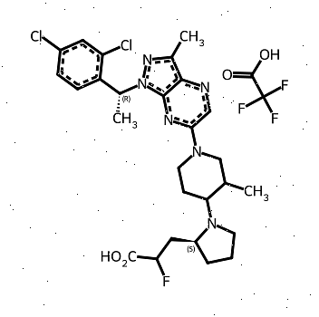 Cc1nn([C@H](C)c2ccc(Cl)cc2Cl)c2nc(N3CCC(N4CCC[C@H]4CC(F)C(=O)O)C(C)C3)cnc12.O=C(O)C(F)(F)F